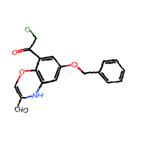 O=CC1=COc2c(cc(OCc3ccccc3)cc2C(=O)CCl)N1